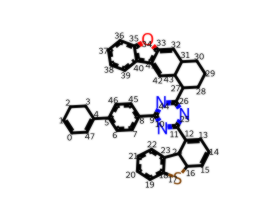 C1=CCCC(c2ccc(-c3nc(C4=CC=CC5Sc6ccccc6C45)nc(C4CCCC5C=c6oc7ccccc7c6=CC54)n3)cc2)=C1